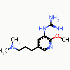 COc1ncc(CCCN(C)C)cc1NC(=N)N